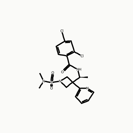 C[C@H](NC(=O)c1ccc(Cl)cc1Cl)C1(c2ccccn2)CN(S(=O)(=O)N(C)C)C1